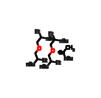 CCCCC(CC)COCC(CC)CCCC.CCCCC(CC)COCC(CC)CCCC.CCC[CH2][Sn][CH3]